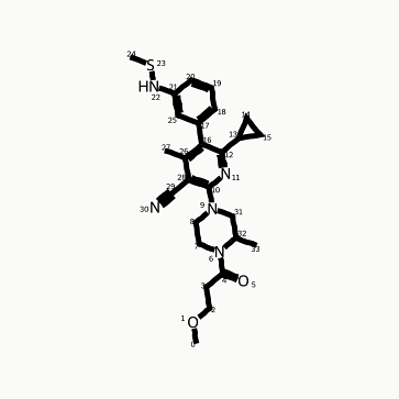 COCCC(=O)N1CCN(c2nc(C3CC3)c(-c3cccc(NSC)c3)c(C)c2C#N)CC1C